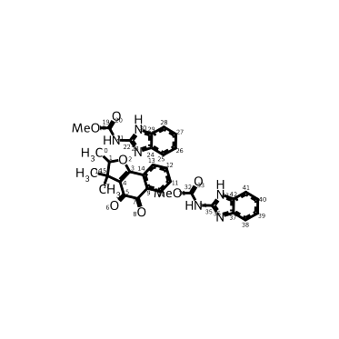 CC1OC2=C(C(=O)C(=O)c3ccccc32)C1(C)C.COC(=O)Nc1nc2ccccc2[nH]1.COC(=O)Nc1nc2ccccc2[nH]1